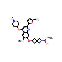 COc1cc2c(OC3CCN(C)CC3)cc(-c3ccc(C)o3)nc2cc1OC1CC2(C1)CN(C(=O)OC(C)(C)C)C2